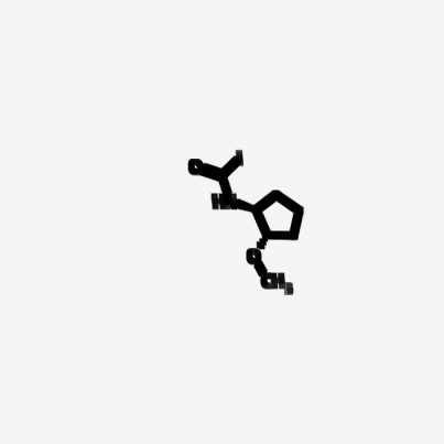 CO[C@H]1CCC[C@@H]1NC(=O)I